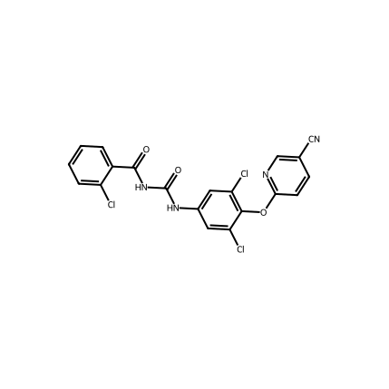 N#Cc1ccc(Oc2c(Cl)cc(NC(=O)NC(=O)c3ccccc3Cl)cc2Cl)nc1